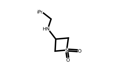 CC(C)CNC1CS(=O)(=O)C1